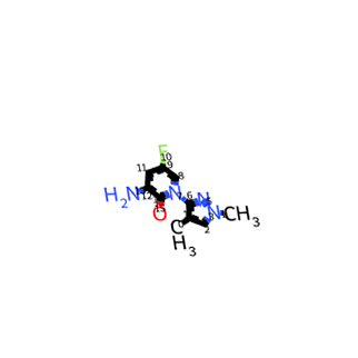 Cc1cn(C)nc1-n1cc(F)cc(N)c1=O